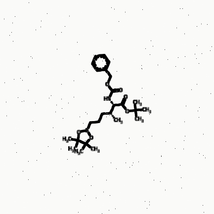 C[C@H](CCCB1OC(C)(C)C(C)(C)O1)[C@H](NC(=O)OCc1ccccc1)C(=O)OC(C)(C)C